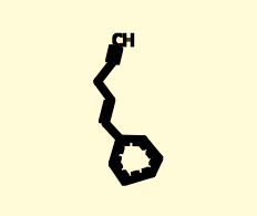 C#CCC=Cc1ccccc1